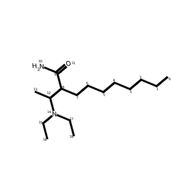 CCCCCCCCC(C(N)=O)C(C)N(CC)CC